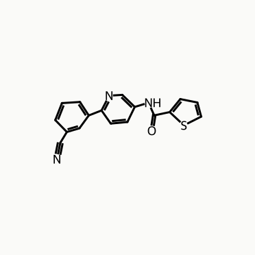 N#Cc1cccc(-c2ccc(NC(=O)c3cccs3)cn2)c1